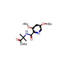 CCCCOc1cnc(C(=O)NC(C)(C)C(=O)OC)c(OCCCC)c1